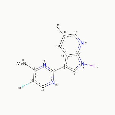 CNc1nc(-c2cn(I)c3ncc(C)cc23)ncc1F